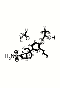 CCCc1cc(C(CC)(CC)c2ccc(S(N)(=O)=O)s2)ccc1OCC(O)C(C)(C)C.COC(C)=O